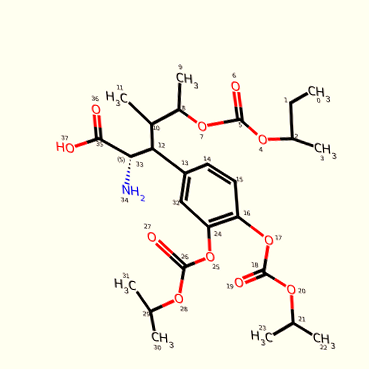 CCC(C)OC(=O)OC(C)C(C)C(c1ccc(OC(=O)OC(C)C)c(OC(=O)OC(C)C)c1)[C@H](N)C(=O)O